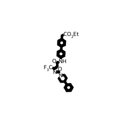 CCOC(=O)Cc1ccc(-c2ccc(NC(=O)c3oc(N4CCC(c5ccccc5)CC4)nc3C(F)(F)F)cc2)cc1